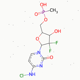 CP(=O)(O)OCC1OC(n2ccc(NCl)nc2=O)C(F)(F)C1O